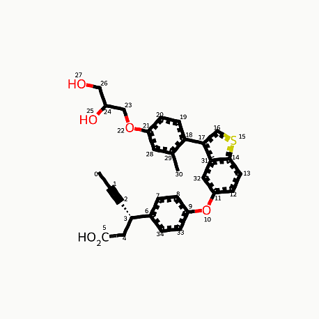 CC#C[C@@H](CC(=O)O)c1ccc(Oc2ccc3scc(-c4ccc(OCC(O)CO)cc4C)c3c2)cc1